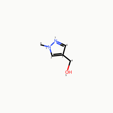 Cn1cc(CO)cn1